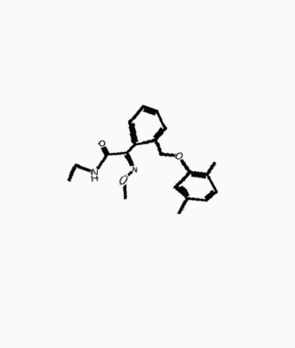 CCNC(=O)C(=NOC)c1ccccc1COc1cc(C)ccc1C